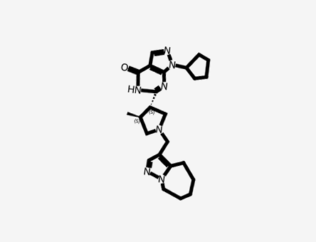 C[C@@H]1CN(Cc2cnn3c2CCCCC3)C[C@H]1c1nc2c(cnn2C2CCCC2)c(=O)[nH]1